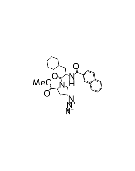 COC(=O)[C@@H]1C[C@@H](N=[N+]=[N-])CN1C(=O)[C@@H](CC1CCCCC1)NC(=O)c1ccc2ccccc2c1